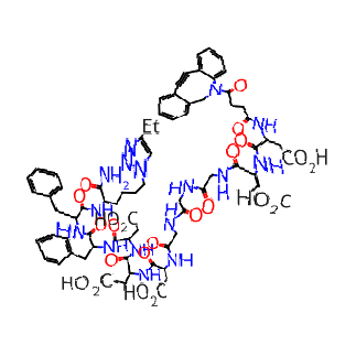 CCc1cn(CCCCC(NC(=O)C(Cc2ccccc2)NC(=O)C(Cc2ccccc2)NC(=O)C(CC(=O)O)NC(=O)C(CC(=O)O)NC(=O)C(CC(=O)O)NC(=O)CNC(=O)CNC(=O)CNC(=O)C(CC(=O)O)NC(=O)C(CC(=O)O)NC(=O)CCC(=O)N2Cc3ccccc3C#Cc3ccccc32)C(N)=O)nn1